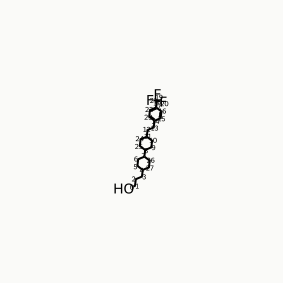 OCCCC1CCC(C2CCC(CCc3ccc(C(F)(F)F)cc3)CC2)CC1